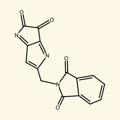 O=C1c2ccccc2C(=O)N1Cc1cc2nc(=O)c(=O)c-2n1